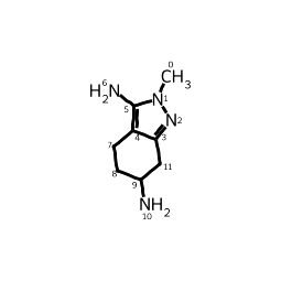 Cn1nc2c(c1N)CCC(N)C2